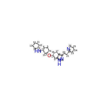 C1=C(Oc2cccc(Nc3ccccc3)c2)CCc2c(/C=C/c3ccccn3)n[nH]c21